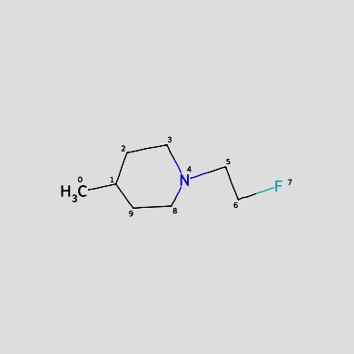 CC1CCN(CCF)CC1